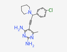 Cc1nc(N)nc(N)c1C#CC(c1ccc(Cl)cc1)N1CCCCC1